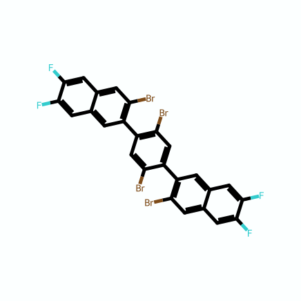 Fc1cc2cc(Br)c(-c3cc(Br)c(-c4cc5cc(F)c(F)cc5cc4Br)cc3Br)cc2cc1F